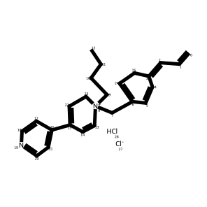 C=CC=C1C=CC(C[N+]2(CCCC)C=CC(c3ccncc3)=CC2)=CC1.Cl.[Cl-]